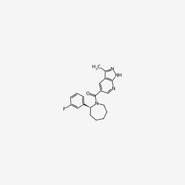 Cc1n[nH]c2ncc(C(=O)N3CCCCC[C@H]3c3cccc(F)c3)cc12